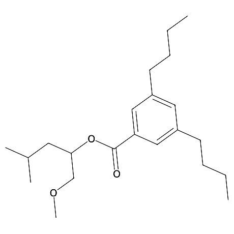 CCCCc1cc(CCCC)cc(C(=O)OC(COC)CC(C)C)c1